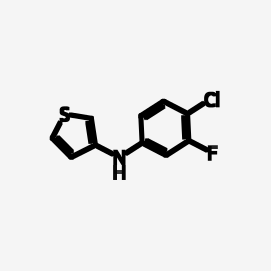 Fc1cc(Nc2ccsc2)ccc1Cl